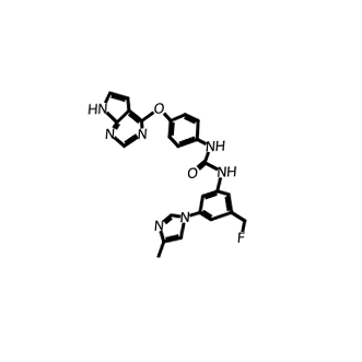 Cc1cn(-c2cc(CF)cc(NC(=O)Nc3ccc(Oc4ncnc5[nH]ccc45)cc3)c2)cn1